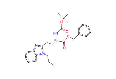 CCCn1c(CC[C@H](NC(=O)OC(C)(C)C)C(=O)OCc2ccccc2)nc2ccccc21